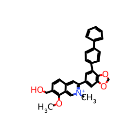 COc1c(CO)ccc2cc(-c3cc4c(c(-c5ccc(-c6ccccc6)cc5)c3)OCO4)[n+](C)cc12